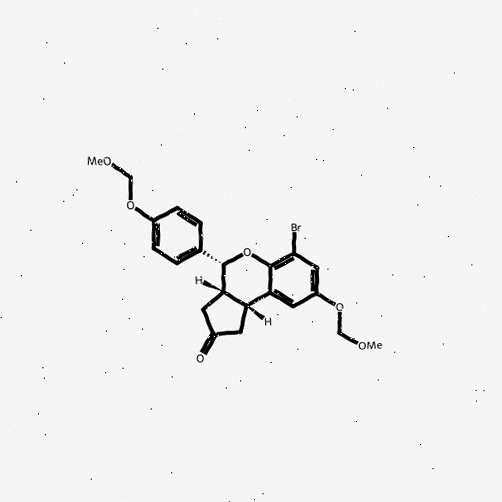 COCOc1ccc([C@@H]2Oc3c(Br)cc(OCOC)cc3[C@@H]3CC(=O)C[C@@H]32)cc1